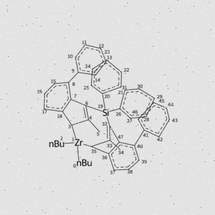 CCC[CH2][Zr]1([CH2]CCC)[CH]2C(C)=C(c3c(-c4ccccc4)cccc32)[Si](c2ccccc2)(c2ccccc2)C2=C(C)[CH]1c1cccc(-c3ccccc3)c12